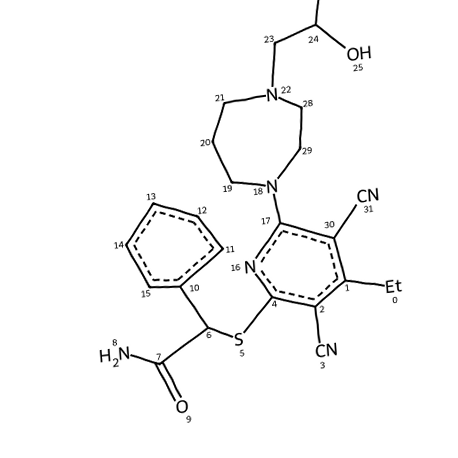 CCc1c(C#N)c(SC(C(N)=O)c2ccccc2)nc(N2CCCN(CC(O)CO)CC2)c1C#N